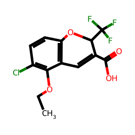 CCOc1c(Cl)ccc2c1C=C(C(=O)O)C(C(F)(F)F)O2